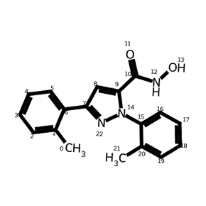 Cc1ccccc1-c1cc(C(=O)NO)n(-c2ccccc2C)n1